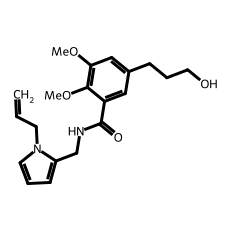 C=CCn1cccc1CNC(=O)c1cc(CCCO)cc(OC)c1OC